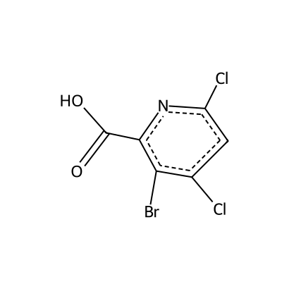 O=C(O)c1nc(Cl)cc(Cl)c1Br